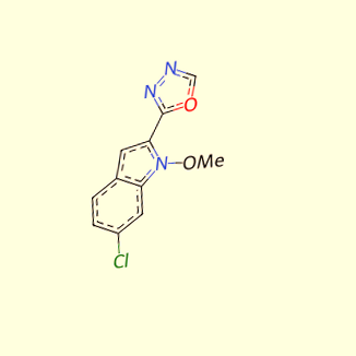 COn1c(-c2nnco2)cc2ccc(Cl)cc21